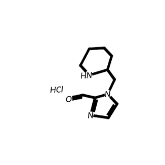 Cl.O=Cc1nccn1CC1CCCCN1